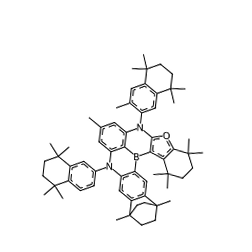 Cc1cc2c3c(c1)N(c1cc4c(cc1C)C(C)(C)CCC4(C)C)c1oc4c(c1B3c1cc3c(cc1N2c1ccc2c(c1)C(C)(C)CCC2(C)C)C1(C)CCC3(C)CC1)C(C)(C)CCC4(C)C